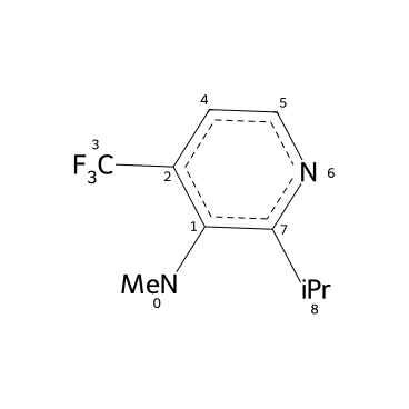 CNc1c(C(F)(F)F)ccnc1C(C)C